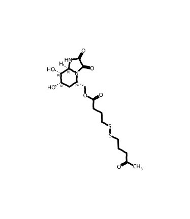 CC(=O)CCCSSCCCC(=O)OC[C@@H]1C[C@H](O)[C@H](O)[C@H]2NC(=O)C(=O)N12